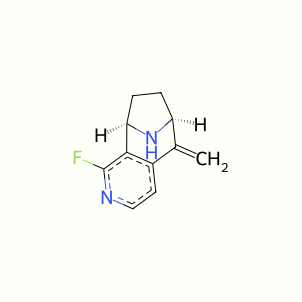 C=C1c2ccnc(F)c2[C@H]2CC[C@@H]1N2